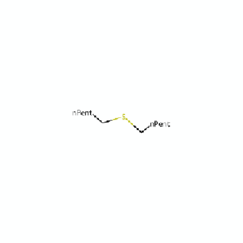 [CH2]CCCCCSCCCCC[CH2]